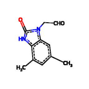 Cc1cc(C)c2[nH]c(=O)n(CC=O)c2c1